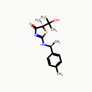 Cc1ccc([C@H](C)NC2=NC(=O)[C@@](C)(C(C)(C)O)S2)cc1